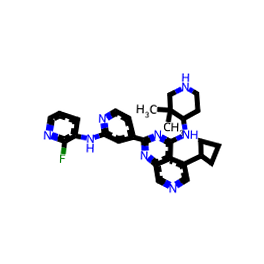 CC1(C)CNCCC1Nc1nc(-c2ccnc(Nc3cccnc3F)c2)nc2cncc(C3CCC3)c12